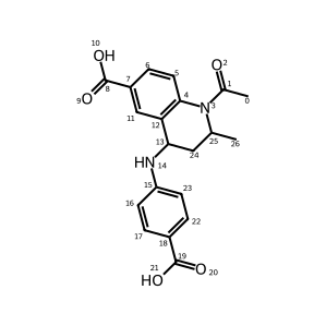 CC(=O)N1c2ccc(C(=O)O)cc2C(Nc2ccc(C(=O)O)cc2)CC1C